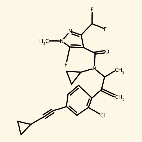 C=C(c1ccc(C#CC2CC2)cc1Cl)C(C)N(C(=O)c1c(C(F)F)nn(C)c1F)C1CC1